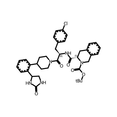 CC(C)(C)OC(=O)N1Cc2ccccc2C[C@H]1C(=O)N[C@H](Cc1ccc(Cl)cc1)C(=O)N1CCC(c2ccccc2C2CNC(=O)N2)CC1